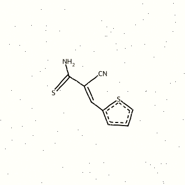 N#C/C(=C\c1cccs1)C(N)=S